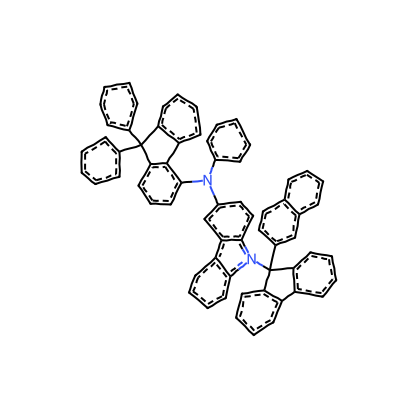 c1ccc(N(c2ccc3c(c2)c2ccccc2n3C2(c3ccc4ccccc4c3)c3ccccc3-c3ccccc32)c2cccc3c2-c2ccccc2C3(c2ccccc2)c2ccccc2)cc1